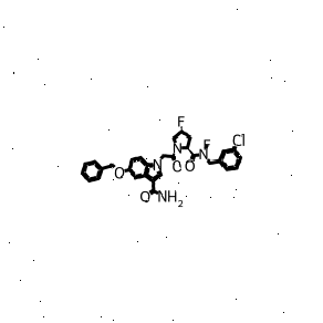 NC(=O)c1cn(CC(=O)N2C[C@H](F)C[C@H]2C(=O)N(F)Cc2cccc(Cl)c2)c2ccc(OCc3ccccc3)cc12